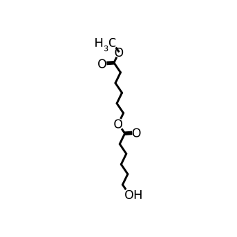 COC(=O)CCCCCOC(=O)CCCCCO